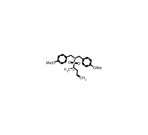 C=CC[C@@H](C(F)(F)F)S(=O)(=O)N(Cc1ccc(OC)cc1)Cc1ccc(OC)cc1